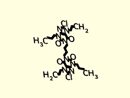 C=CCn1c(Cl)nc2c1c(=O)n(CCCCn1c(=O)c3c(nc(Cl)n3CC=C)n(CCCC)c1=O)c(=O)n2CCCC